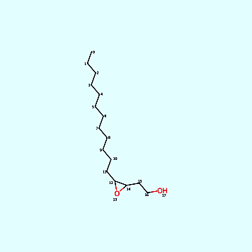 CCCCCCCCCCCCC1OC1CCO